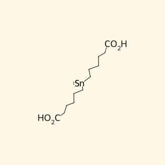 O=C(O)CCCC[CH2][Sn][CH2]CCCCC(=O)O